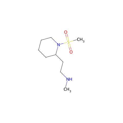 CNCCC1CCCCN1S(C)(=O)=O